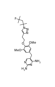 COc1cc(Cc2cnc(N)nc2N)cc(OC)c1OCCc1cn(C(C)(C)CC(C)(C)F)nn1